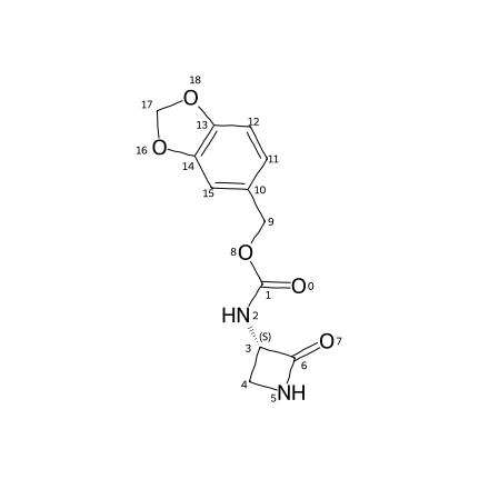 O=C(N[C@H]1CNC1=O)OCc1ccc2c(c1)OCO2